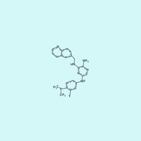 CP(C)c1ccc(Nc2cnc(N)c(NCc3ccc4ncccc4c3)n2)cc1F